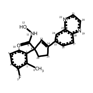 Cc1c(F)cccc1C1(C(=O)NO)C=C(c2ccc3nccnc3c2)CC1